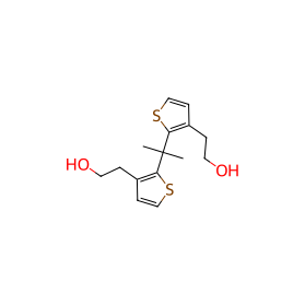 CC(C)(c1sccc1CCO)c1sccc1CCO